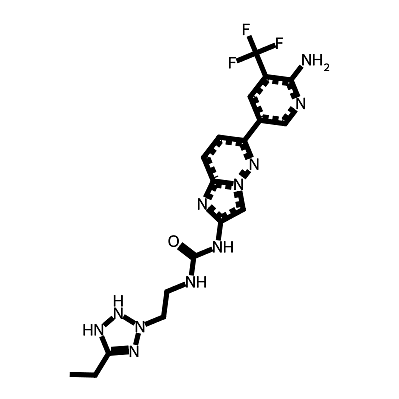 CCC1=NN(CCNC(=O)Nc2cn3nc(-c4cnc(N)c(C(F)(F)F)c4)ccc3n2)NN1